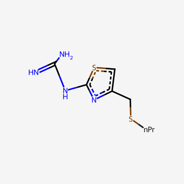 [CH2]CCSCc1csc(NC(=N)N)n1